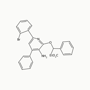 CCOC(=O)C(Oc1nc(-c2ccccc2Br)cc(-c2ccccc2)c1N)c1ccccc1